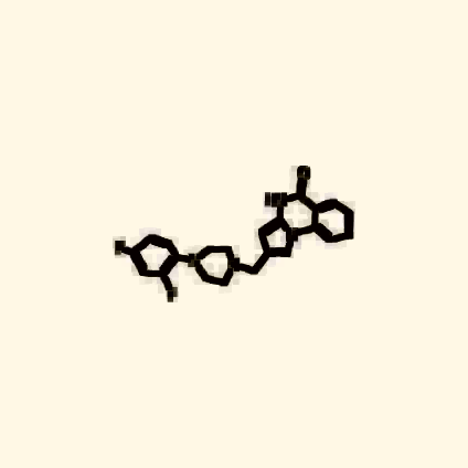 O=c1[nH]c2cc(CN3CCN(c4ccc(F)cc4F)CC3)cn2c2ccccc12